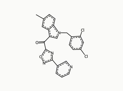 Cc1ccc2c(c1)c(C(=O)c1nc(-c3cccnc3)no1)cn2Cc1ccc(Cl)cc1Cl